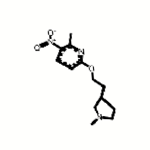 Cc1nc(OCCC2CCN(C)C2)ccc1[N+](=O)[O-]